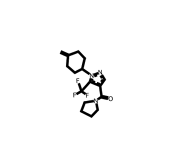 C=C1CCC(n2ncc(C(=O)N3CCCC3)c2C(F)(F)F)CC1